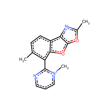 Cc1nc2c(o1)oc1c(-c3nccc[n+]3C)c(C)ccc12